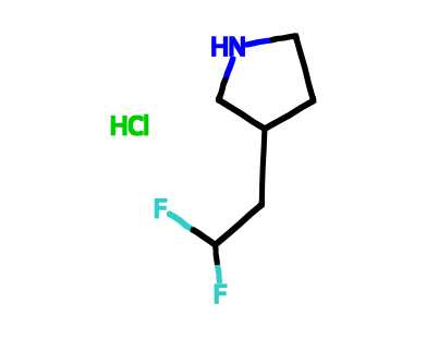 Cl.FC(F)CC1CCNC1